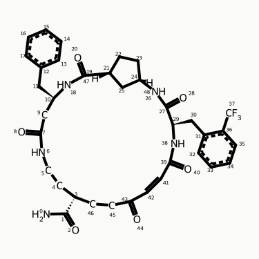 NC(=O)[C@@H]1CCNC(=O)C[C@@H](Cc2ccccc2)NC(=O)[C@@H]2CC[C@@H](C2)NC(=O)[C@@H](Cc2ccccc2C(F)(F)F)NC(=O)/C=C\C(=O)CC1